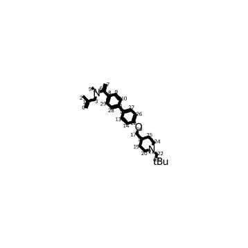 C=C(C)CN(C)C(=C)c1ccc(-c2ccc(OCC3CCN(CC(C)(C)C)CC3)cc2)cc1